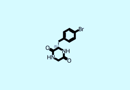 O=C1CNC(=O)[C@H](Cc2ccc(Br)cc2)N1